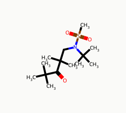 CC(C)(C)C(=O)C(C)(C)CN(C(C)(C)C)S(C)(=O)=O